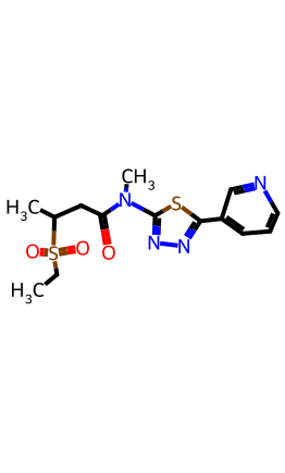 CCS(=O)(=O)C(C)CC(=O)N(C)c1nnc(-c2cccnc2)s1